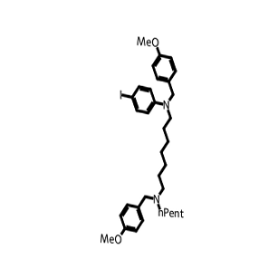 CCCCCN(CCCCCCCN(Cc1ccc(OC)cc1)c1ccc(I)cc1)Cc1ccc(OC)cc1